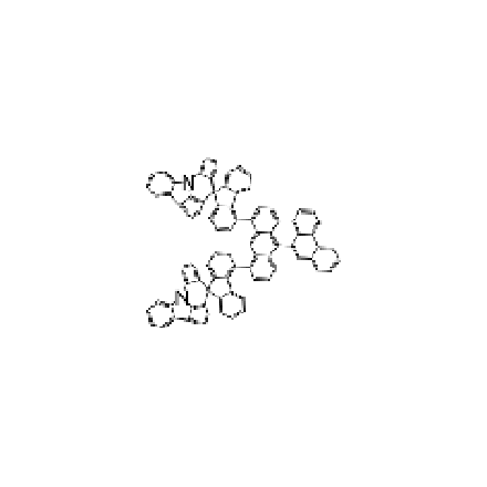 c1ccc2c(c1)-c1c(-c3cccc4c(-c5cc6ccccc6c6ccccc56)c5cccc(-c6cccc7c6-c6ccccc6C76c7ccccc7-n7c8ccccc8c8cccc6c87)c5cc34)cccc1C21c2ccccc2-n2c3ccccc3c3cccc1c32